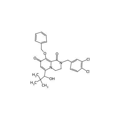 CC(C)(C)C(O)c1cc(=O)c(OCc2ccccc2)c2n1CCN(Cc1ccc(Cl)c(Cl)c1)C2=O